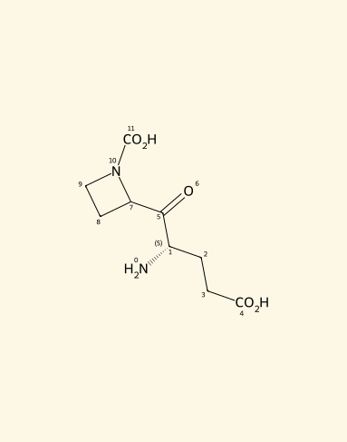 N[C@@H](CCC(=O)O)C(=O)C1CCN1C(=O)O